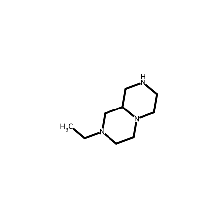 CCN1CCN2CCNCC2C1